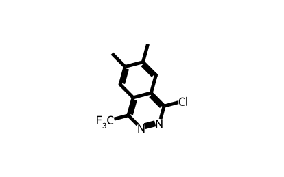 Cc1cc2c(Cl)nnc(C(F)(F)F)c2cc1C